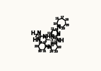 N=C(N)NCC[C@@H]1[C@@H](Nc2nccc(N3CCCCCC3)n2)CCCN1C1CCCCC1